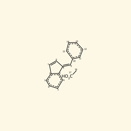 C1=Cc2ccccc2C1=Cc1ccccc1.CC(=O)O